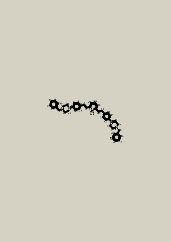 CC[n+]1c(/C=C/c2ccc(N3CCN(Cc4ccccc4)CC3)cc2)cccc1/C=C/c1ccc(N2CCN(Cc3ccccc3)CC2)cc1